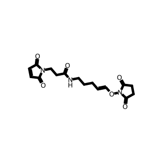 O=C(CCN1C(=O)C=CC1=O)NCCCC=CON1C(=O)CCC1=O